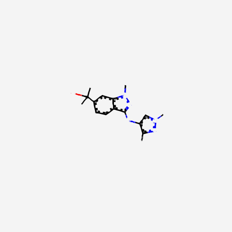 Cn1cc(Nc2nn(C)c3cc(C(C)(C)O)ccc23)c(C(F)(F)F)n1